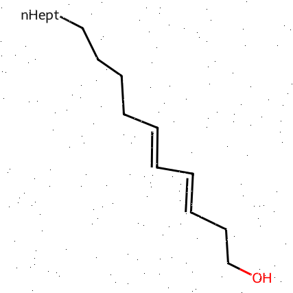 CCCCCCCCCCC/C=C/C=C/CCO